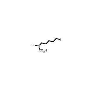 CC(C)(C)N(CCCCCI)C(=O)O